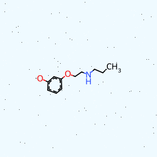 CCCNCCOc1cccc([O])c1